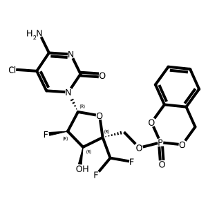 Nc1nc(=O)n([C@@H]2O[C@@](COP3(=O)OCc4ccccc4O3)(C(F)F)[C@@H](O)[C@H]2F)cc1Cl